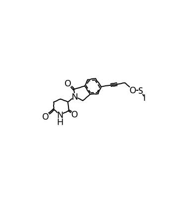 O=C1CCC(N2Cc3cc(C#CCOSI)ccc3C2=O)C(=O)N1